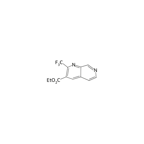 CCOC(=O)c1cc2ccncc2nc1C(F)(F)F